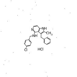 Cc1[nH]c2ccnc(NCc3ccc(Cl)cc3)c2c1Cc1ccccc1.Cl